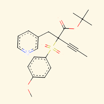 CC#CC(Cc1cccnc1)(C(=O)OC(C)(C)C)S(=O)(=O)c1ccc(OC)cc1